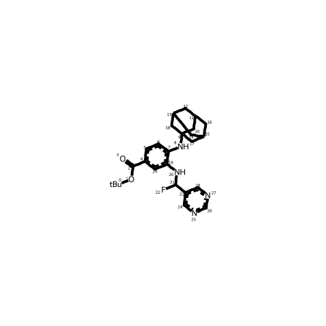 CC(C)(C)OC(=O)c1ccc(NC23CC4CC(CC(C4)C2)C3)c(NC(F)c2cncnc2)c1